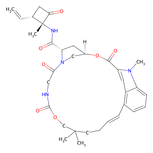 C=C[C@@H]1CC(=O)[C@]1(C)NC(=O)[C@@H]1C[C@@H]2CN1C(=O)CNC(=O)OCC(C)(C)CC/C=C/c1cccc3c1cc(n3C)C(=O)O2